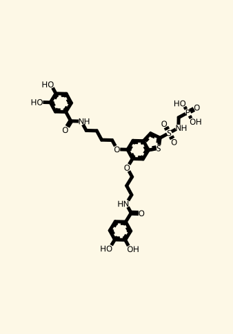 O=C(NCCCCOc1cc2cc(S(=O)(=O)NCP(=O)(O)O)sc2cc1OCCCNC(=O)c1ccc(O)c(O)c1)c1ccc(O)c(O)c1